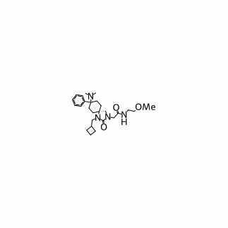 COCCNC(=O)CN1C[C@]2(CC[C@](c3ccccc3)(N(C)C)CC2)N(CC2CCC2)C1=O